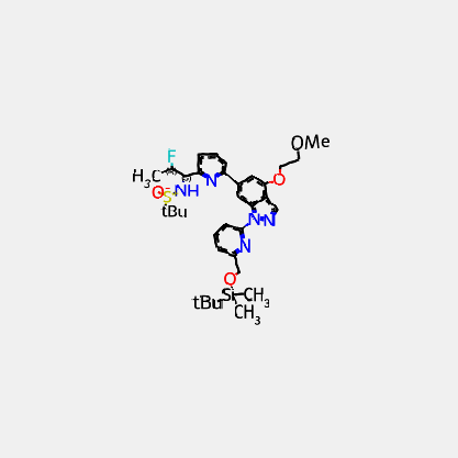 COCCOc1cc(-c2cccc([C@H](N[S+]([O-])C(C)(C)C)[C@@H](C)F)n2)cc2c1cnn2-c1cccc(CO[Si](C)(C)C(C)(C)C)n1